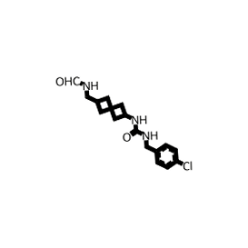 O=CNCC1CC2(C1)CC(NC(=O)NCc1ccc(Cl)cc1)C2